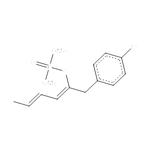 CC=CC=C(Cc1ccc(Cl)cc1)OP(=O)(OC)OC